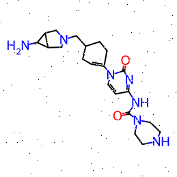 NC1C2CN(CC3CC=C(n4ccc(NC(=O)N5CCNCC5)nc4=O)CC3)CC12